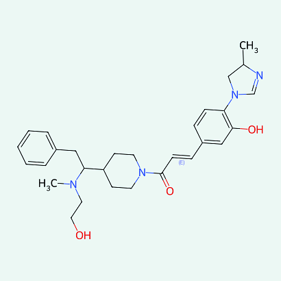 CC1CN(c2ccc(/C=C/C(=O)N3CCC(C(Cc4ccccc4)N(C)CCO)CC3)cc2O)C=N1